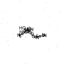 Cc1ncsc1-c1ccc(CNC(=O)[C@@H]2C[C@@H](O)CN2C(=O)[C@@H](NC(=O)COCCOCCOc2ccc3nc(-c4ccc(-c5ccc(N(C)C)nc5)cc4)sc3c2)C(C)(C)C)cc1